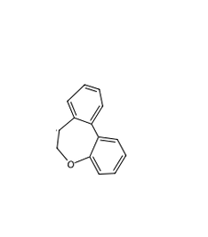 [CH]1COc2ccccc2-c2ccccc21